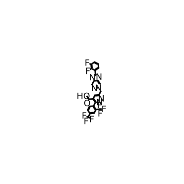 O=C(O)c1cc(Cn2cc3nc(-c4cccc(F)c4F)nc-3cn2)nnc1-c1ccc(C(F)(F)F)cc1C(F)(F)F